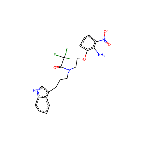 Nc1c(OCCN(CCCc2c[nH]c3ccccc23)C(=O)C(F)(F)F)cccc1[N+](=O)[O-]